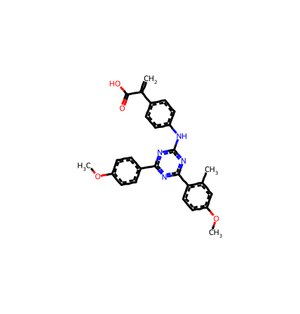 C=C(C(=O)O)c1ccc(Nc2nc(-c3ccc(OC)cc3)nc(-c3ccc(OC)cc3C)n2)cc1